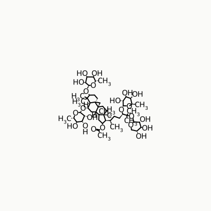 CC(=O)O[C@H]1C[C@@]2(C)[C@@H]3C[C@H](O[C@@H]4O[C@@H](C)[C@H](O)[C@@H](O)[C@H]4O)[C@H]4C(C)(C)[C@@H](O[C@@H]5O[C@@H](C)[C@H](O)[C@@H](O)[C@H]5O)CC[C@@]45C[C@@]35CC[C@]2(C)[C@H]1[C@H](C)CC[C@@H](O[C@@H]1O[C@H](C)[C@H](O)[C@H](O)[C@H]1O)C(C)(C)O[C@@H]1OC[C@@H](O)[C@H](O)[C@H]1O